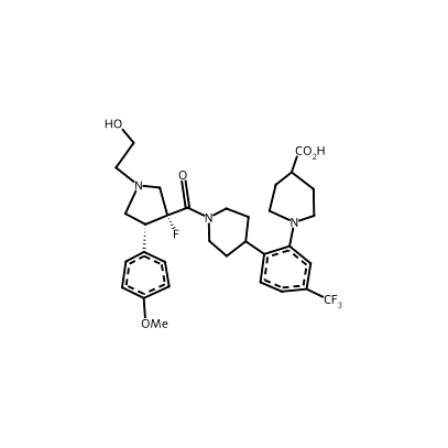 COc1ccc([C@@H]2CN(CCO)C[C@@]2(F)C(=O)N2CCC(c3ccc(C(F)(F)F)cc3N3CCC(C(=O)O)CC3)CC2)cc1